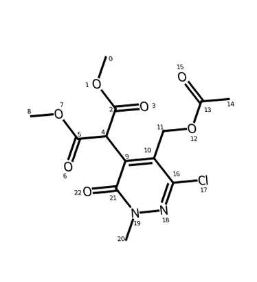 COC(=O)C(C(=O)OC)c1c(COC(C)=O)c(Cl)nn(C)c1=O